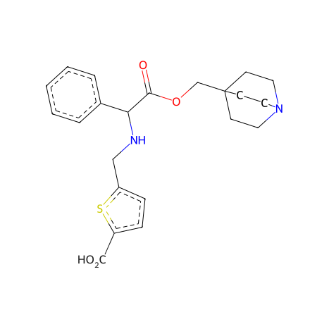 O=C(O)c1ccc(CNC(C(=O)OCC23CCN(CC2)CC3)c2ccccc2)s1